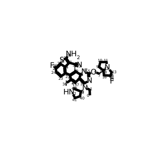 CCN(c1nc(OC[C@@]23CCCN2C[C@H](F)C3)nc2c(F)c(-c3ccc(F)c4sc(N)c(C#N)c34)c(I)cc12)[C@@H]1CCN[C@@H]1C